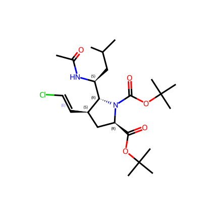 CC(=O)N[C@@H](CC(C)C)[C@H]1[C@H](/C=C/Cl)C[C@H](C(=O)OC(C)(C)C)N1C(=O)OC(C)(C)C